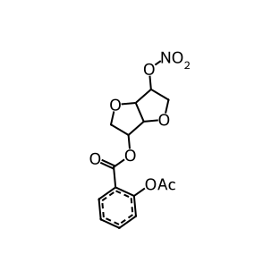 CC(=O)Oc1ccccc1C(=O)OC1COC2C(O[N+](=O)[O-])COC12